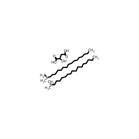 CCCCCCCCCCCCCCCCN(C)C.CCCCCCCCCCCCCCCCN(C)C.O=C(O)CC(O)C(=O)O